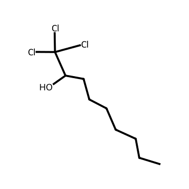 CCCCCCCC(O)C(Cl)(Cl)Cl